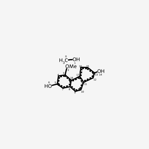 CO.COc1cc(O)cc2ccc3cc(O)ccc3c12